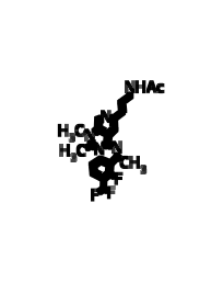 CC(=O)NC/C=C/c1cc2/c(=N/C(C)c3cccc(C(F)F)c3F)nc(C)n(C)c2cn1